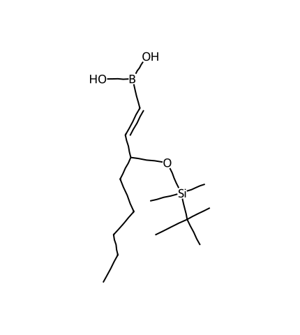 CCCCCC(C=CB(O)O)O[Si](C)(C)C(C)(C)C